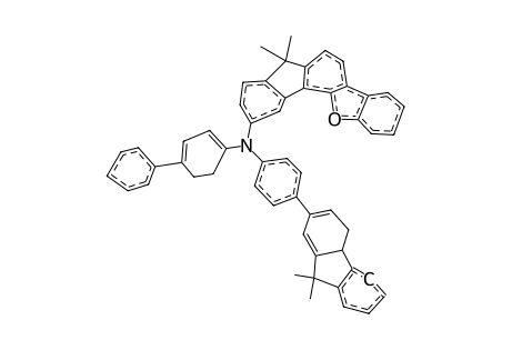 CC1(C)C2=CC(c3ccc(N(C4=CC=C(c5ccccc5)CC4)c4ccc5c(c4)-c4c(ccc6c4oc4ccccc46)C5(C)C)cc3)=CCC2c2ccccc21